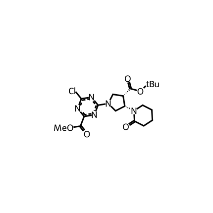 COC(=O)c1nc(Cl)nc(N2C[C@H](C(=O)OC(C)(C)C)[C@H](N3CCCCC3=O)C2)n1